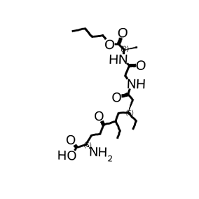 CCCCOC(=O)[C@@H](C)NC(=O)CNC(=O)C[C@@H](CC)CC(CC)C(=O)CC[C@H](N)C(=O)O